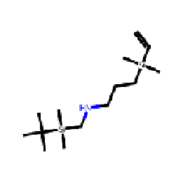 C=C[Si](C)(C)CCCNC[Si](C)(C)C(C)(C)C